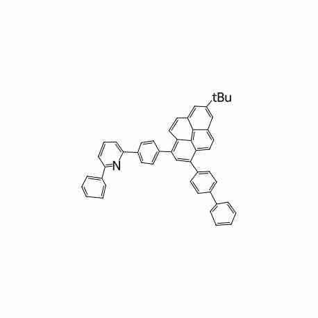 CC(C)(C)c1cc2ccc3c(-c4ccc(-c5ccccc5)cc4)cc(-c4ccc(-c5cccc(-c6ccccc6)n5)cc4)c4ccc(c1)c2c34